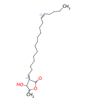 C=C1OC(=O)/C(=C\CCCCCCCCCCC/C=C\CCCC)C1O